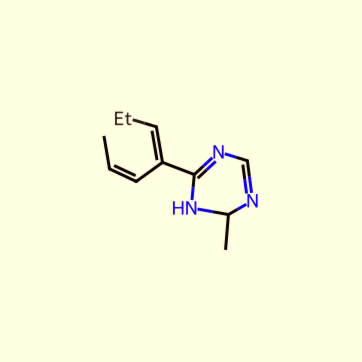 C/C=C\C(=C/CC)C1=NC=NC(C)N1